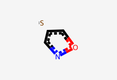 [S].c1cnoc1